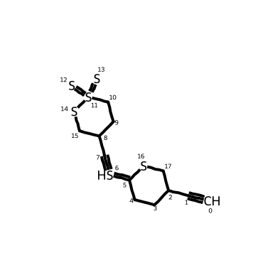 C#CC1CCC(=[SH]#CC2CCS(=S)(=S)SC2)SC1